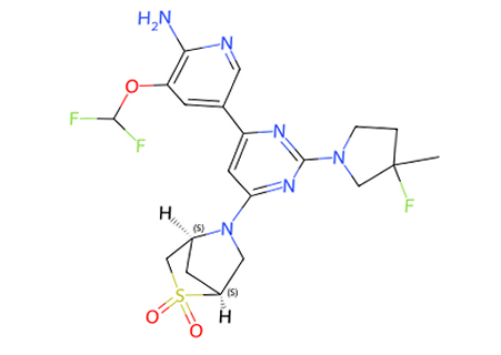 CC1(F)CCN(c2nc(-c3cnc(N)c(OC(F)F)c3)cc(N3C[C@@H]4C[C@H]3CS4(=O)=O)n2)C1